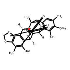 COc1c(C)cc2c(c1O)[C@@H]1C3[C@@H]4SCC(=O)C(=O)OCC[C@@H](c5c6c(c(C)c(OC(C)=O)c54)OCO6)N3C(C)(C2)CN1C